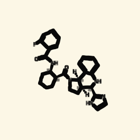 O=C(N[C@@H]1CCCC[C@@H]1C(=O)N1CC[C@@H]2[C@H](c3ncc[nH]3)Nc3ccccc3[C@@H]21)c1ccccc1F